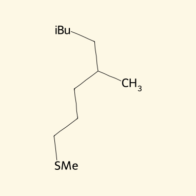 CCC(C)CC(C)CCCSC